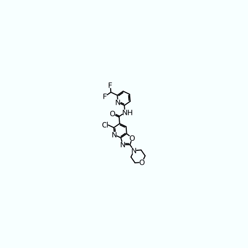 O=C(Nc1cccc(C(F)F)n1)c1cc2oc(N3CCOCC3)nc2nc1Cl